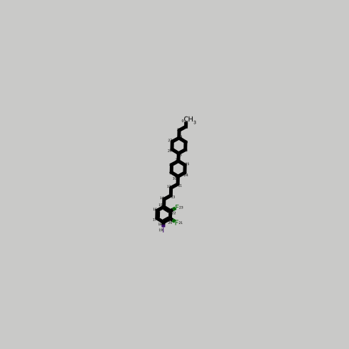 CCCC1CCC(C2CCC(CCCCc3ccc(I)c(F)c3F)CC2)CC1